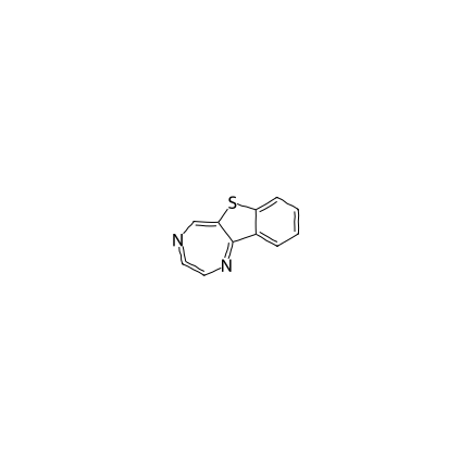 C1=CN=c2c(sc3ccccc23)=CN=1